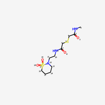 CNC(=O)CSCC(=O)NCCN1CCCCS1(=O)=O